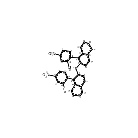 O=[N+]([O-])c1ccc(-c2c(Sc3ccc4ccccc4c3-c3ccc([N+](=O)[O-])cc3Cl)ccc3ccccc23)c(Cl)c1